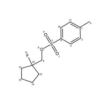 Cc1ccc(S(=O)(=O)OCC2(F)CCCC2)cc1